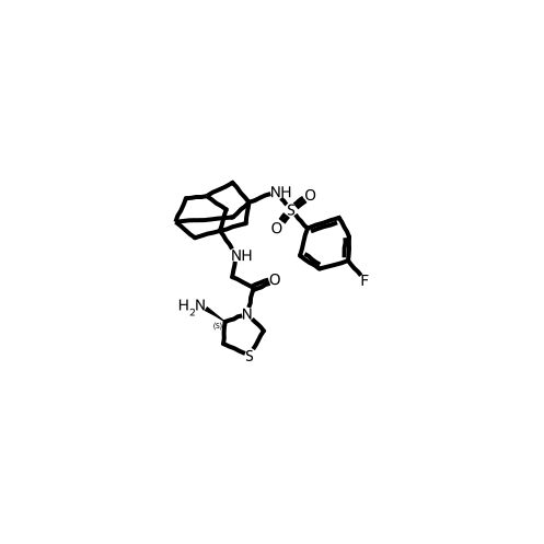 N[C@@H]1CSCN1C(=O)CNC12CC3CC(C1)CC(NS(=O)(=O)c1ccc(F)cc1)(C3)C2